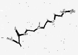 CSC(C)C(=O)NCCOCCOCCNC(C)(C)C